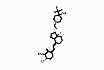 C=C1/C(=C\C=C2/CCCC3(C)C2CC[C@@H]3CCN2CCC(O)(C(F)(F)F)CC2)CC[C@H](C)C1O